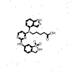 O=C(O)CCCCN(c1ccnc(Nc2ccc3c(c2)S(=O)(=O)NC3)n1)c1cccc2[nH]ncc12